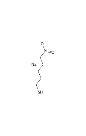 O=C([O-])CCCCCS.[Na+]